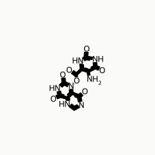 Nc1c(C(=O)On2c(=O)[nH]c(=O)c3[nH]cnc(=O)c32)[nH]c(=O)[nH]c1=O